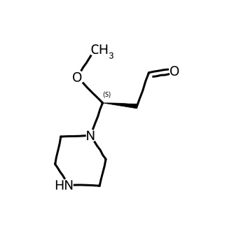 CO[C@@H](CC=O)N1CCNCC1